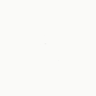 CC1C=CC2COC(=O)[C@H]12